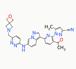 CC(=O)c1ccc(-c2cnn3cc(Nc4ccc(CN5CC6(COC6)C5)nn4)ccc23)nc1-n1nc(C#N)cc1C